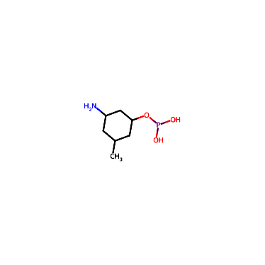 CC1CC(N)CC(OP(O)O)C1